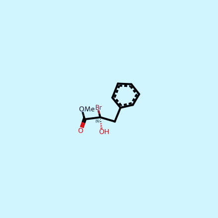 COC(=O)[C@@](O)(Br)Cc1ccccc1